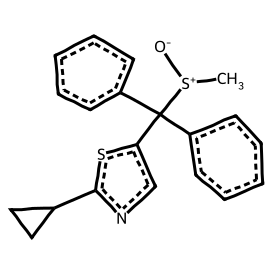 C[S+]([O-])C(c1ccccc1)(c1ccccc1)c1cnc(C2CC2)s1